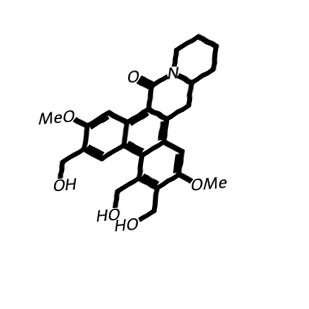 COc1cc2c3c(c4cc(OC)c(CO)c(CO)c4c2cc1CO)CC1CCCCN1C3=O